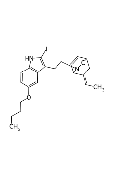 C/C=C1\CC2C=CC1N(CCc1c(I)[nH]c3ccc(OCCCC)cc13)C2